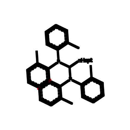 CCCCCCCC(P(c1ccccc1C)c1ccccc1C)P(c1ccccc1C)c1ccccc1C